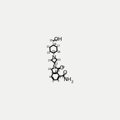 NC(=O)c1cccc2c1C(=O)N(C1CN([C@H]3CC[C@@H](CO)CC3)C1)C2